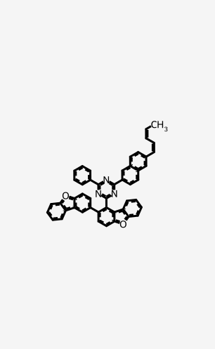 C/C=C\C=C/c1ccc2cc(-c3nc(-c4ccccc4)nc(-c4c(-c5ccc6oc7ccccc7c6c5)ccc5oc6ccccc6c45)n3)ccc2c1